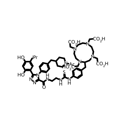 CC(=O)N1CCC(Cc2ccc(-n3c(C(=O)NCCNC(=S)Nc4ccc(CC5CN(CC(=O)O)CCN(CC(=O)O)CCN(CC(=O)O)CCN5CC(=O)O)cc4)nnc3-c3cc(C(C)C)c(O)cc3O)cc2)CC1